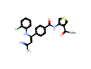 COC(=O)c1cscc1NC(=O)c1ccc(/C(=C/C(=N)C(F)(F)F)Nc2ccccc2Cl)cc1